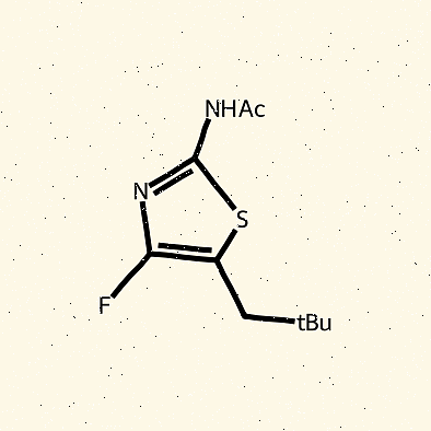 CC(=O)Nc1nc(F)c(CC(C)(C)C)s1